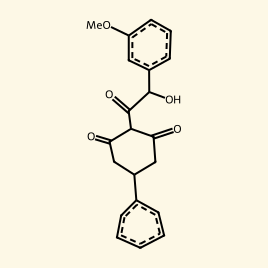 COc1cccc(C(O)C(=O)C2C(=O)CC(c3ccccc3)CC2=O)c1